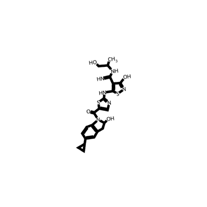 CC(CO)NC(=N)c1c(O)nsc1Nc1ncc(C(=O)N2c3ccc(C4CC4)cc3CC2O)s1